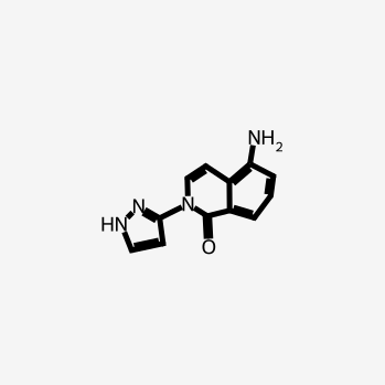 Nc1cccc2c(=O)n(-c3cc[nH]n3)ccc12